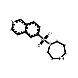 O=S(=O)(c1ccc2cnccc2c1)N1CCCNCC1